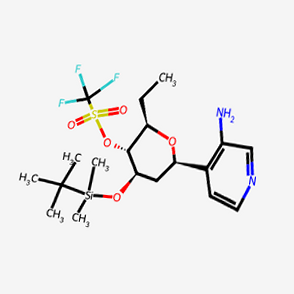 CC[C@H]1O[C@@H](c2ccncc2N)C[C@@H](O[Si](C)(C)C(C)(C)C)[C@@H]1OS(=O)(=O)C(F)(F)F